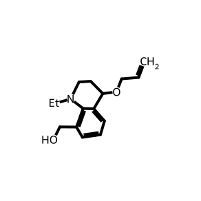 C=CCOC1CCN(CC)c2c(CO)cccc21